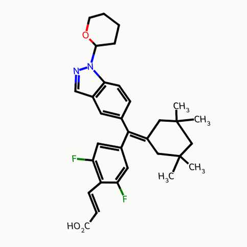 CC1(C)CC(=C(c2cc(F)c(/C=C/C(=O)O)c(F)c2)c2ccc3c(cnn3C3CCCCO3)c2)CC(C)(C)C1